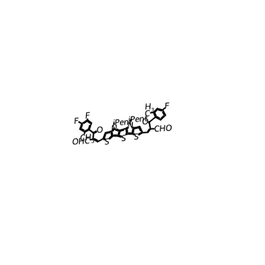 CCCC(C)n1c2cc(/C=C(/C=O)C(=O)c3ccc(F)cc3C)sc2c2sc3c4sc(/C=C(/C=O)C(=O)c5cc(F)c(F)cc5C)cc4n(C(C)CCC)c3c21